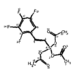 CC(=O)O[Si](CCc1cc(F)c(F)c(F)c1F)(OC(C)=O)OC(C)=O